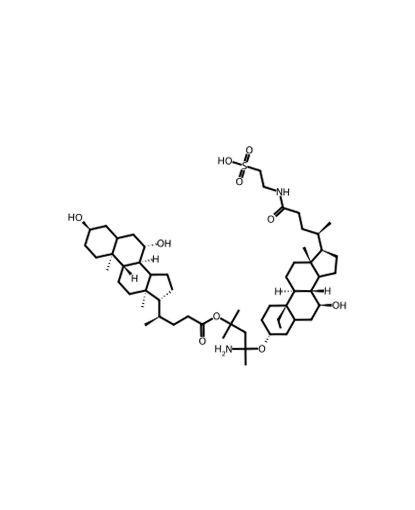 CC[C@]12CC[C@@H](OC(C)(N)CC(C)(C)OC(=O)CC[C@@H](C)[C@H]3CCC4[C@@H]5[C@@H](O)CC6C[C@H](O)CC[C@]6(C)[C@H]5CC[C@@]43C)CC1C[C@H](O)[C@H]1C3CC[C@H]([C@H](C)CCC(=O)NCCS(=O)(=O)O)[C@@]3(C)CC[C@@H]12